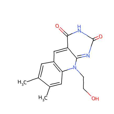 Cc1cc2cc3c(=O)[nH]c(=O)nc-3n(CCO)c2cc1C